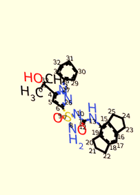 CC(C)(O)c1cc([S@](N)(=O)=NC(=O)Nc2c3c(cc4c2CCC4)CCC3)nn1-c1ccccc1